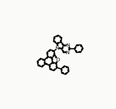 c1ccc(-c2ncc3c(n2)c2ccccc2n3-c2ccc3c4ccccc4c4ccc(-c5ccccc5)c5oc2c3c54)cc1